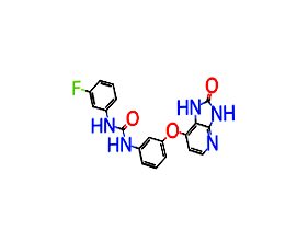 O=C(Nc1cccc(F)c1)Nc1cccc(Oc2ccnc3[nH]c(=O)[nH]c23)c1